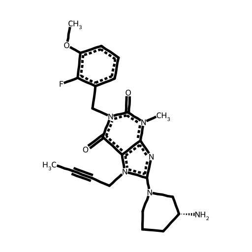 CC#CCn1c(N2CCC[C@@H](N)C2)nc2c1c(=O)n(Cc1cccc(OC)c1F)c(=O)n2C